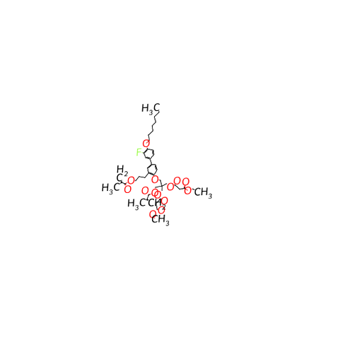 C=C(C)C(=O)OCCCc1cc(-c2ccc(OCCCCCCCC)c(F)c2)ccc1OCC(COC(=O)CC(=O)OC)(COC(=O)CC(=O)OCC)COC(=O)C(=C)C